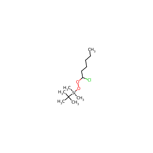 CCCCCC(Cl)OO[Si](C)(C)C(C)(C)C